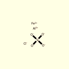 [Al+3].[Cl-].[Fe+2].[O-][Si]([O-])([O-])[O-]